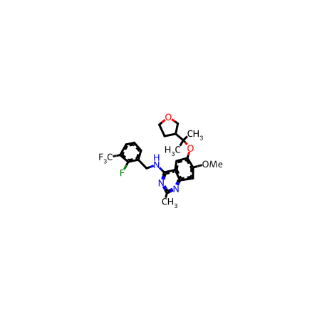 COc1cc2nc(C)nc(NCc3cccc(C(F)(F)F)c3F)c2cc1OC(C)(C)C1CCOC1